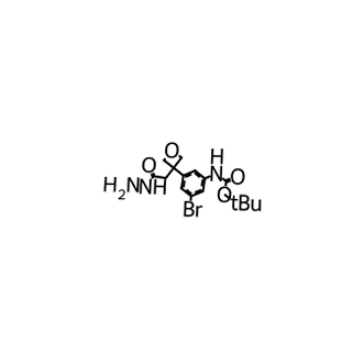 CC(C)(C)OC(=O)Nc1cc(Br)cc(C2(CC(=O)NN)COC2)c1